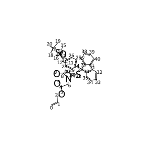 C=CCOC(=O)CN1C(=O)[C@H](CCO[Si](C)(C)C(C)(C)C)[C@H]1SC(c1ccccc1)(c1ccccc1)c1ccccc1